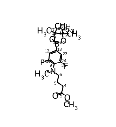 COC(=O)CCCN(C)c1c(F)cc(B2OC(C)(C)C(C)(C)O2)cc1F